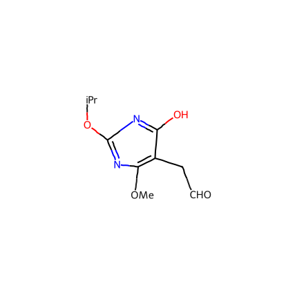 COc1nc(OC(C)C)nc(O)c1CC=O